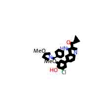 COc1cc(-c2ccc3ncc(C(=O)C4CC4)c(N[C@H]4CC[C@H](CN5CCC(OC)C5)CC4)c3c2)cc(Cl)c1O